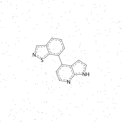 c1cc(-c2ccnc3[nH]ccc23)c2sncc2c1